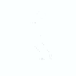 CC(c1cccc(C(=O)c2ccccc2)c1)c1nc(N=C2NCCCN2)n(C)n1.Cl